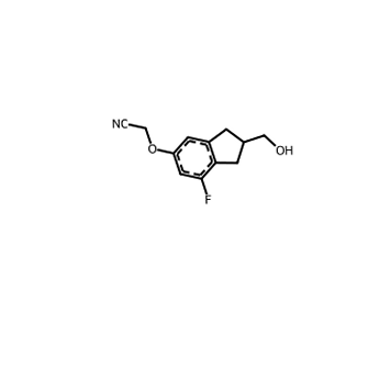 N#CCOc1cc(F)c2c(c1)CC(CO)C2